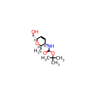 C[C@H]1O[C@H](CO)C=C[C@H]1NC(=O)OC(C)(C)C